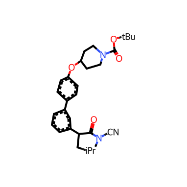 CC(C)CC(C(=O)N(C)C#N)c1cccc(-c2ccc(OC3CCN(C(=O)OC(C)(C)C)CC3)cc2)c1